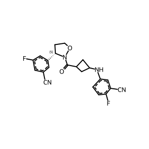 N#Cc1cc(F)cc([C@@H]2CCON2C(=O)C2CC(Nc3ccc(F)c(C#N)c3)C2)c1